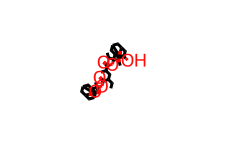 CCC(CC(C)C(=O)OC(CC)(CC)C12CC3CC(CC(O)(C3)C1)C2)C(=O)OC(C)(C)C12CC3CC(C1)C(=O)C(C3)C2